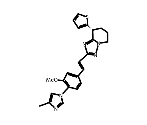 COc1cc(/C=C/c2nc3n(n2)CCC[C@H]3c2cccs2)ccc1-n1cnc(C)c1